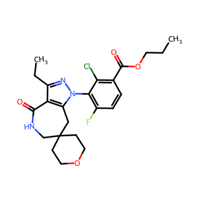 CCCOC(=O)c1ccc(F)c(-n2nc(CC)c3c2CC2(CCOCC2)CNC3=O)c1Cl